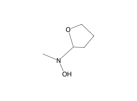 CN(O)C1CCCO1